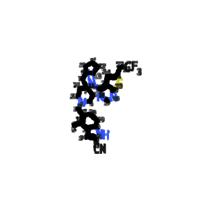 Cc1c(CN2CCC(CC3CCCC3)(Nc3ncnc4sc(CC(F)(F)F)cc34)CC2)ccc2[nH]c(C#N)cc12